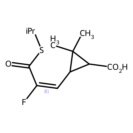 CC(C)SC(=O)/C(F)=C\C1C(C(=O)O)C1(C)C